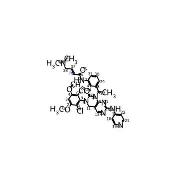 COc1cc(OC)c(Cl)c(N2Cc3cnc(Nc4ccncc4)nc3N(C(C)c3cccc(NC(=O)/C=C/CN(C)C)c3)C2=O)c1Cl